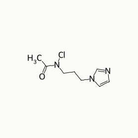 CC(=O)N(Cl)CCCn1ccnc1